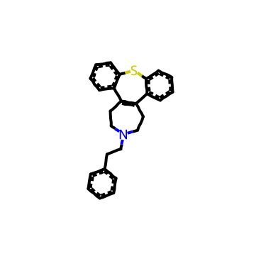 c1ccc(CCN2CCC3=C(CC2)c2ccccc2Sc2ccccc23)cc1